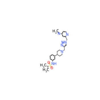 C=Nc1ccnc(Cn2cc(CN3CCC(c4cccc(NS(=O)(=O)C(C)C)c4)CC3)nn2)c1